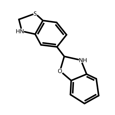 c1ccc2c(c1)NC(c1ccc3c(c1)NCS3)O2